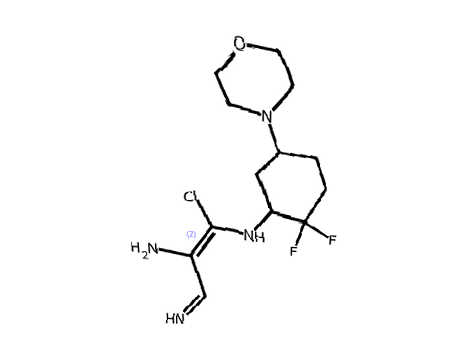 N=C/C(N)=C(/Cl)NC1CC(N2CCOCC2)CCC1(F)F